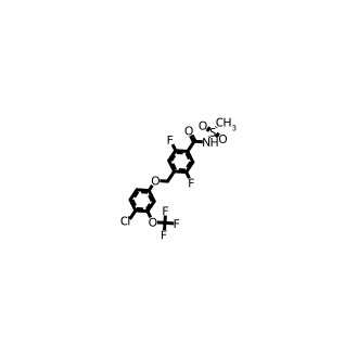 CS(=O)(=O)NC(=O)c1cc(F)c(COc2ccc(Cl)c(OC(F)(F)F)c2)cc1F